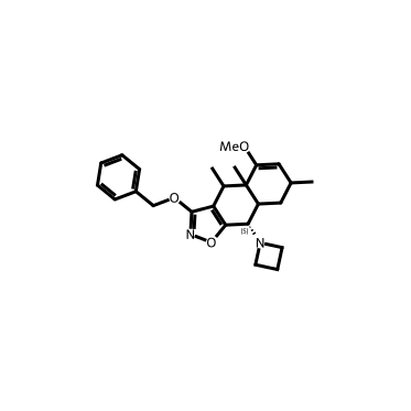 COC1=CC(C)CC2[C@H](N3CCC3)c3onc(OCc4ccccc4)c3C(C)C12C